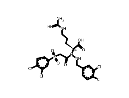 N=C(N)NCCC[C@@H](C(=O)O)N(NCc1ccc(Cl)c(Cl)c1)C(=O)CS(=O)(=O)c1ccc(Cl)c(Cl)c1